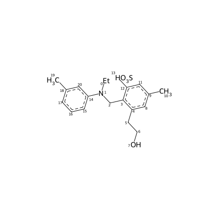 CCN(Cc1c(CCO)cc(C)cc1S(=O)(=O)O)c1cccc(C)c1